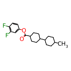 CC1CCC(C2CCC(C(=O)Oc3ccc(F)c(F)c3)CC2)CC1